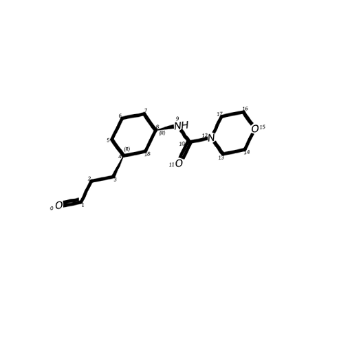 O=CCC[C@H]1CCC[C@@H](NC(=O)N2CCOCC2)C1